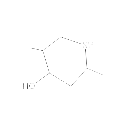 CC1CC(O)C(C)CN1